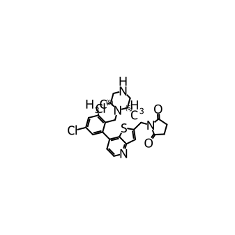 C[C@H]1CNC[C@H](C)N1Cc1c(Cl)cc(Cl)cc1-c1ccnc2cc(CN3C(=O)CCC3=O)sc12